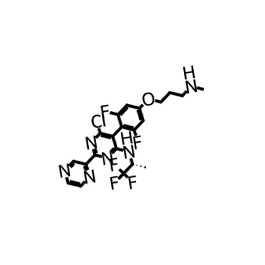 CNCCCOc1cc(F)c(-c2c(Cl)nc(-c3cnccn3)nc2N[C@H](C)C(F)(F)F)c(F)c1